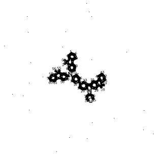 CC1(C)c2ccccc2-c2ccc(N(c3ccc(-c4ccc5c(c4)c4cc6c(cc4n5-c4ccccc4)C(C)(C)c4ccccc4-6)cc3)c3ccc4c(c3)C(C)(C)c3ccccc3-4)cc21